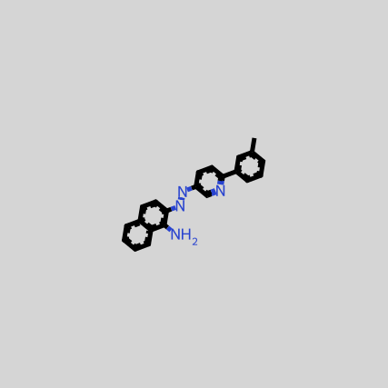 Cc1cccc(-c2ccc(N=Nc3ccc4ccccc4c3N)cn2)c1